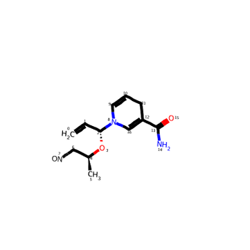 C=C[C@@H](O[C@@H](C)CN=O)N1C=CCC(C(N)=O)=C1